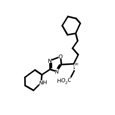 O=C(O)C[C@@H](CCCC1CCCCC1)c1nc(C2CCCCN2)no1